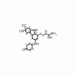 N=C(N)NCCc1cc(Nc2ccc(Cl)cc2)cc2c1[nH]c1cc(Cl)c(Cl)cc12